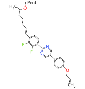 C=CCOc1ccc(-c2cnc(-c3ccc(/C=C/CCCC(C)OCCCCC)c(F)c3F)nc2)cc1